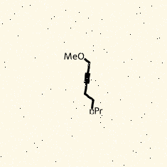 [CH2]OCC#CCCCCC